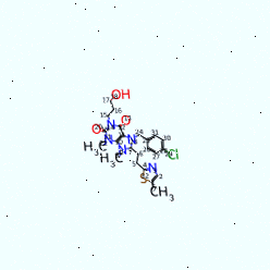 Cc1cnc(CCC2N(C)c3c(c(=O)n(CCCO)c(=O)n3C)N2Cc2ccc(Cl)cc2)s1